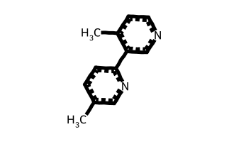 Cc1ccc(-c2cnccc2C)nc1